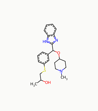 CC(O)CSc1cccc(C(OC2CCN(C)CC2)c2nc3ccccc3[nH]2)c1